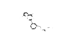 CCOC(=O)c1nc(-c2cccc(CNC(=O)OC(C)(C)C)c2)nn2c(C=O)ccc12